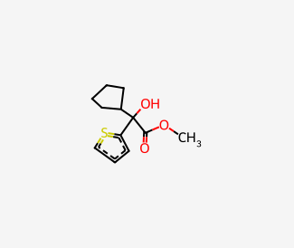 COC(=O)C(O)(c1cccs1)C1CCCC1